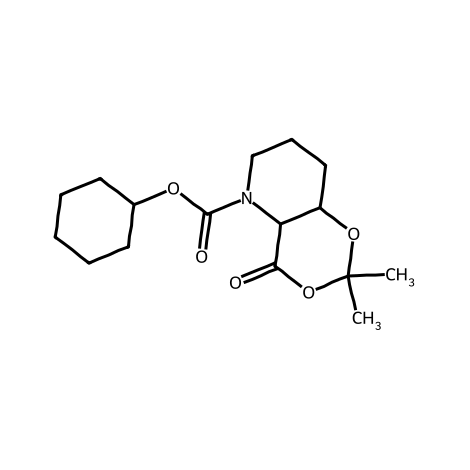 CC1(C)OC(=O)C2C(CCCN2C(=O)OC2CCCCC2)O1